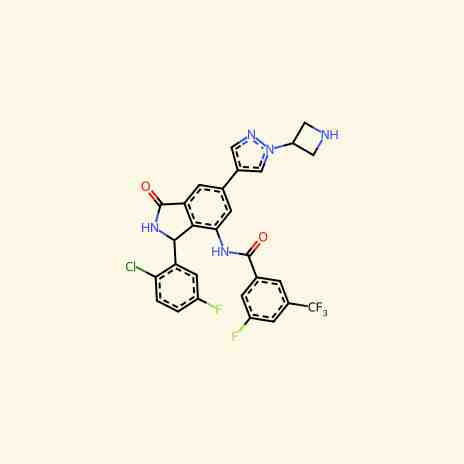 O=C(Nc1cc(-c2cnn(C3CNC3)c2)cc2c1C(c1cc(F)ccc1Cl)NC2=O)c1cc(F)cc(C(F)(F)F)c1